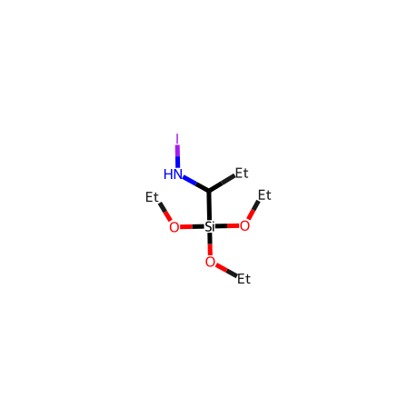 CCO[Si](OCC)(OCC)C(CC)NI